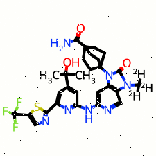 [2H]C([2H])([2H])n1c(=O)n(C23CCC(C(N)=O)(CC2)CC3)c2cc(Nc3cc(C(C)(C)O)cc(-c4ncc(C(F)(F)F)s4)n3)ncc21